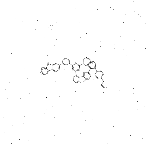 C=CCc1ccc(-c2ccccc2-c2ccc3sc4cccc(-c5nc(-c6ccccc6)nc(-c6cccc(-c7ccc8c(c7)sc7ccccc78)c6)n5)c4c3c2)cc1